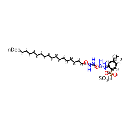 CCCCCCCCCCCCCCCCCCCCCCCCCCCONNONNc1cc(C)ccc1S(=O)(=O)S(=O)(=O)O